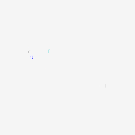 CCCCCCC1CCC(c2ccc(-c3c(F)cc(N=C=S)cc3F)cc2)CC1